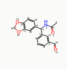 CC(=O)NC(c1cccc(C=O)c1)c1ccc2c(c1)OCO2